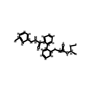 CC[C@@H](C)OC(=O)NCc1ccccc1-c1ccccc1C(=O)NCc1cccc(C)n1